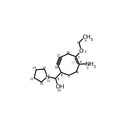 CCO/C1=C(\N)CCC(C(O)N2CCCC2)C#CC1